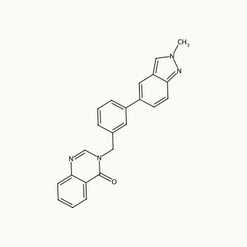 Cn1cc2cc(-c3cccc(Cn4cnc5ccccc5c4=O)c3)ccc2n1